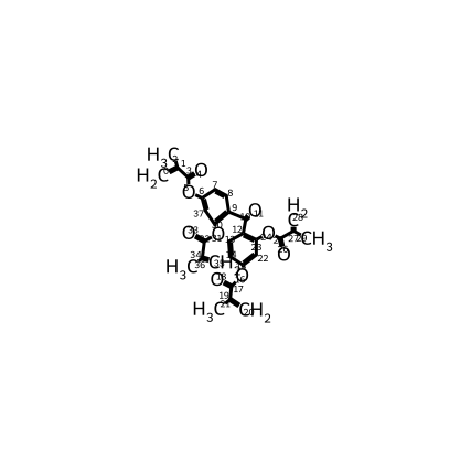 C=C(C)C(=O)Oc1ccc(C(=O)c2ccc(OC(=O)C(=C)C)cc2OC(=O)C(=C)C)c(OC(=O)C(=C)C)c1